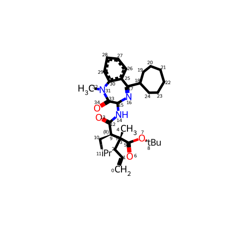 C=CC[C@@](C)(C(=O)OC(C)(C)C)[C@@H](CC(C)C)C(=O)NC1N=C(C2CCCCCC2)c2ccccc2N(C)C1=O